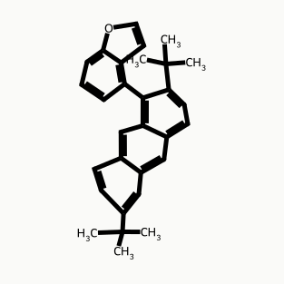 CC(C)(C)c1ccc2cc3c(-c4cccc5occc45)c(C(C)(C)C)ccc3cc2c1